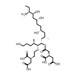 CC[C@H](N)[C@@H](O)C[C@H](O)CC[C@@H](O)C[C@H](C)C[C@H](OC(=O)C[C@@H](CC(=O)O)C(=O)O)[C@H](OCC[C@@H](CC(=O)O)C(=O)O)[C@H](C)CCCO